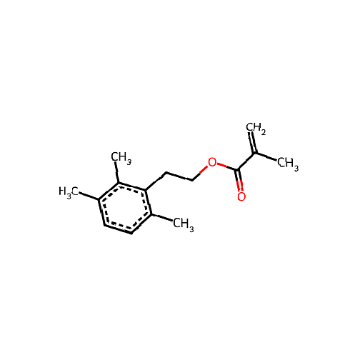 C=C(C)C(=O)OCCc1c(C)ccc(C)c1C